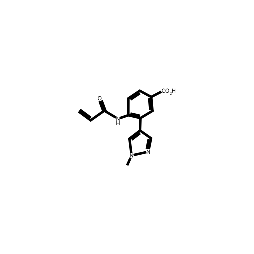 C=CC(=O)Nc1ccc(C(=O)O)cc1-c1cnn(C)c1